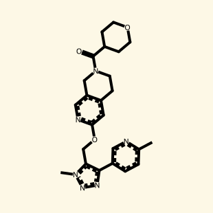 Cc1ccc(-c2nnn(C)c2COc2cc3c(cn2)CN(C(=O)C2CCOCC2)CC3)cn1